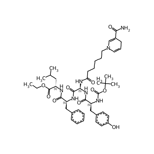 CCOC(=O)[C@H](CC(C)C)NC(=O)[C@H](Cc1ccccc1)NC(=O)[C@@H](NC(=O)CCCCCN1C=CCC(C(N)=O)=C1)NC(=O)[C@H](Cc1ccc(O)cc1)NC(=O)OC(C)(C)C